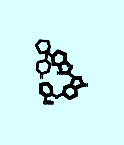 COc1ccccc1Oc1ccc2[nH]nc(-c3nc4ccc([N+]5(C6CCNCC6)CCCCC5)cc4[nH]3)c2c1